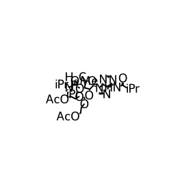 COP(O[C@@H]1C(OC(OCCOC(C)=O)OCCOC(C)=O)[C@H](n2cnc3c(NC(=O)C(C)C)ncnc32)O[C@@H]1C)N(C(C)C)C(C)C